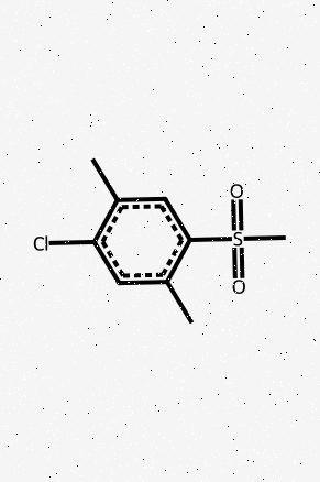 Cc1cc(S(C)(=O)=O)c(C)cc1Cl